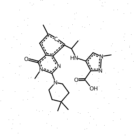 Cc1cc(C(C)Nc2cn(C)nc2C(=O)O)c2nc(N3CCC(C)(C)CC3)n(C)c(=O)c2c1